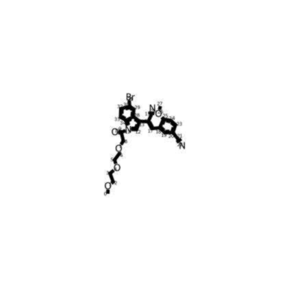 COCCOCCOCC(=O)n1cc(C(C#N)=Cc2cc(C#N)ccc2OC)c2cc(Br)ccc21